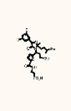 CC(CCC1(C)N=C(c2cc(Cl)cc(Cl)c2)C(=O)N1C(CCC(C)(C)C)c1ccc(C(=O)NCCC(=O)O)s1)C(C)(C)C